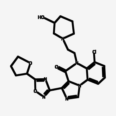 O=c1c2c(-c3noc(C4CCCO4)n3)ncn2c2cccc(Cl)c2n1CCN1CCCC(O)C1